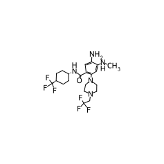 CNc1cc(N2CCN(CC(F)(F)F)CC2)c(C(=O)N[C@H]2CC[C@H](C(F)(F)F)CC2)cc1N